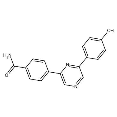 NC(=O)c1ccc(-c2cncc(-c3ccc(O)cc3)n2)cc1